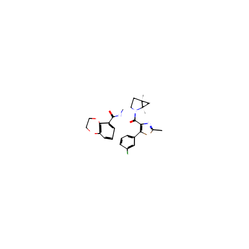 Cc1nc(C(=O)N2[C@H](CNC(=O)c3cccc4c3OCCO4)C[C@@H]3C[C@@H]32)c(-c2cccc(Cl)c2)s1